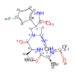 C#[N+][C@@H]1C[C@@]2(CN1C(=O)[C@H](CC(C)(C)C)NC(=O)[C@@H](NC(=O)C(F)(F)F)C(C)(C)C)C(=O)Nc1ccc(F)cc12